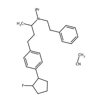 CC#N.CC(C)N(CCc1ccccc1)C(C)CCc1ccc(C2CCCC2F)cc1